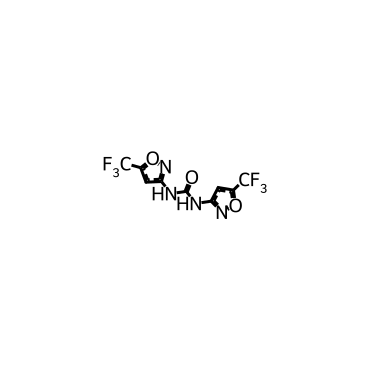 O=C(Nc1cc(C(F)(F)F)on1)Nc1cc(C(F)(F)F)on1